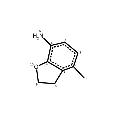 [CH2]c1ccc(N)c2c1CCO2